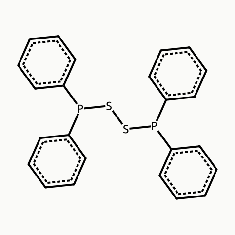 c1ccc(P(SSP(c2ccccc2)c2ccccc2)c2ccccc2)cc1